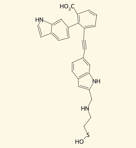 O=C(O)c1cccc(C#Cc2ccc3cc(CNCCSO)[nH]c3c2)c1-c1ccc2cc[nH]c2c1